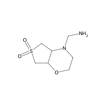 NCN1CCOC2CS(=O)(=O)CC21